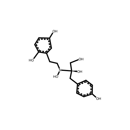 OC[C@](O)(Cc1ccc(O)cc1)N(O)CCc1cc(O)ccc1O